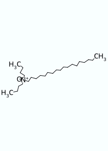 CCCCCCCCCCCCCCCCCC[N+]([O-])(CCCC)CCCC